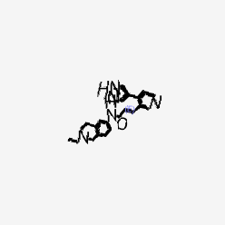 CCN1CCc2cc(NC(=O)/C=C/c3cnccc3-c3cn[nH]c3)ccc2C1